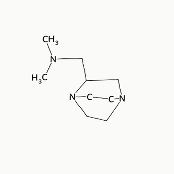 CN(C)CC1CN2CCN1CC2